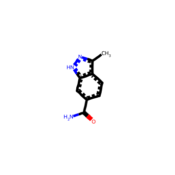 Cc1n[nH]c2cc(C(N)=O)ccc12